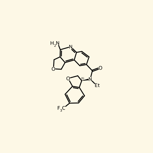 CCN(C(=O)c1ccc2nc(N)c3c(c2c1)COC3)[C@@H]1COc2cc(C(F)(F)F)ccc21